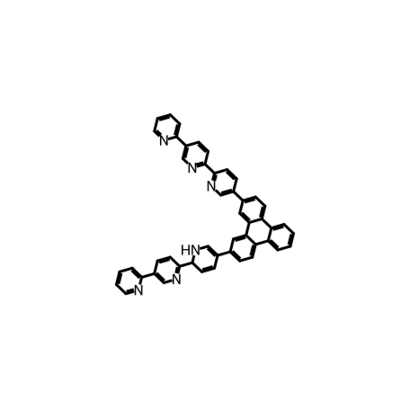 C1=CC(c2ccc(-c3ccccn3)cn2)NC=C1c1ccc2c3ccccc3c3ccc(-c4ccc(-c5ccc(-c6ccccn6)cn5)nc4)cc3c2c1